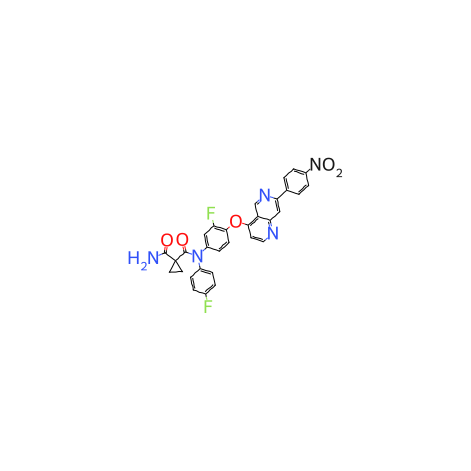 NC(=O)C1(C(=O)N(c2ccc(F)cc2)c2ccc(Oc3ccnc4cc(-c5ccc([N+](=O)[O-])cc5)ncc34)c(F)c2)CC1